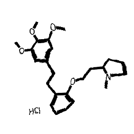 COc1cc(CCc2ccccc2OCCC2CCCN2C)cc(OC)c1OC.Cl